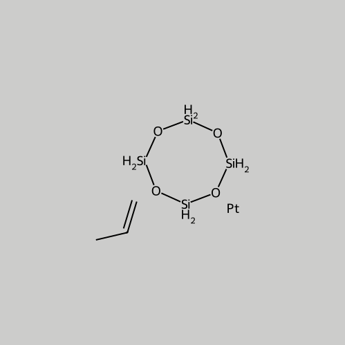 C=CC.O1[SiH2]O[SiH2]O[SiH2]O[SiH2]1.[Pt]